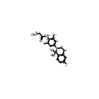 [2H]C1([2H])c2ccc(F)cc2CCN1c1cc(C)c(NC(=O)CC(C)(C)C)c(C)c1